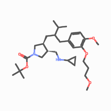 COCCCOc1cc(CC(C[C@@H]2CN(C(=O)OC(C)(C)C)C[C@H]2CNC2CC2)C(C)C)ccc1OC